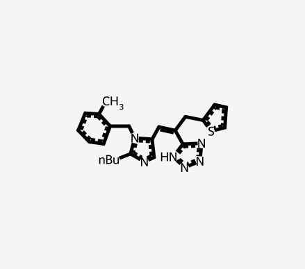 CCCCc1ncc(/C=C(/Cc2cccs2)c2nnn[nH]2)n1Cc1ccccc1C